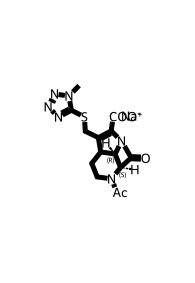 CC(=O)N1CCC2C(CSc3nnnn3C)=C(C(=O)[O-])N3C(=O)[C@@H]1[C@@H]23.[Na+]